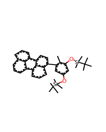 Cc1c(O[Si](C)(C)C(C)(C)C)cc(O[Si](C)(C)C(C)(C)C)cc1-c1ccc2c3cccc4cccc(c5cccc1c52)c43